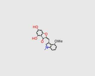 COc1cccc2c1c(C=C1Oc3cc(O)cc(O)c3C1=O)cn2C